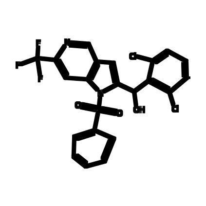 O=S(=O)(c1ccccc1)n1c(C(O)c2c(Cl)[c]ccc2Cl)cc2cnc(C(F)(F)F)cc21